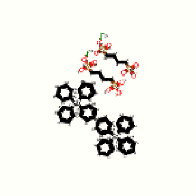 O=S(=O)([O-])CCCCS(=O)(=O)OF.O=S(=O)([O-])CCCCS(=O)(=O)OF.c1cc[c]([Sb+]([c]2ccccc2)([c]2ccccc2)[c]2ccccc2)cc1.c1cc[c]([Sb+]([c]2ccccc2)([c]2ccccc2)[c]2ccccc2)cc1